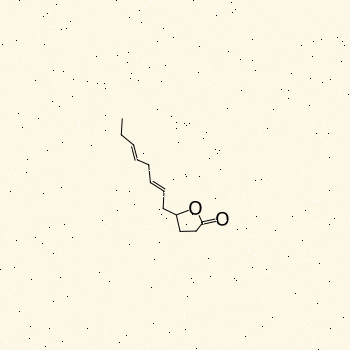 CCC=CCC=CCC1CCC(=O)O1